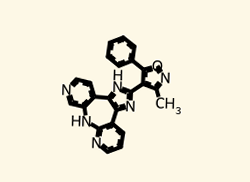 Cc1noc(-c2ccccc2)c1-c1nc2c([nH]1)-c1ccncc1Nc1ncccc1-2